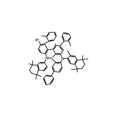 Cc1ccccc1-c1cc2c(c(-c3c(Nc4ccc5c(c4)C(C)(C)CCC5(C)C)ccc(C(C)C)c3-c3ccccc3C)c1C)Sc1cc(-c3ccccc3)ccc1N2c1cc2c(cc1C)C(C)(C)CCC2(C)C